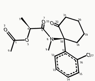 CC(=O)O[C@@H](C)C(=O)N(C)[C@]1(c2ccccc2Cl)CCCCC1=O